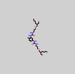 CCCCC(CC)COCCCNC(=O)Nc1ccc(C)c(NC(=O)NCCCOCC(CC)CCCC)c1